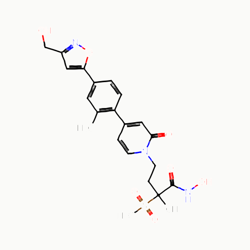 Cc1cc(-c2cc(CO)no2)ccc1-c1ccn(CCC(C)(C(=O)NO)S(C)(=O)=O)c(=O)c1